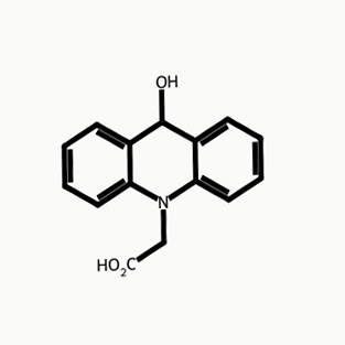 O=C(O)CN1c2ccccc2C(O)c2ccccc21